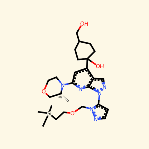 C[C@@H]1COCCN1c1cc(C2(O)CCC(CO)CC2)c2cnn(-c3ccnn3COCC[Si](C)(C)C)c2n1